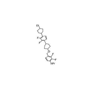 CCCc1ccc(COC2CCC(c3ccc(C4CCC(CC)CC4)c(F)c3F)CC2)c(F)c1F